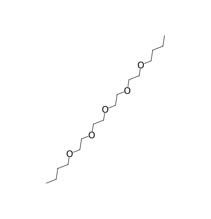 CCCCOCCOCCOCCOCCOCCCC